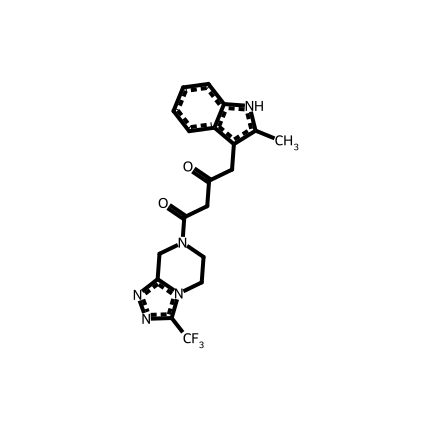 Cc1[nH]c2ccccc2c1CC(=O)CC(=O)N1CCn2c(nnc2C(F)(F)F)C1